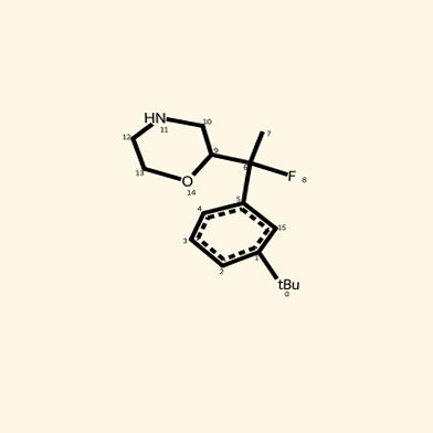 CC(C)(C)c1cccc(C(C)(F)C2CNCCO2)c1